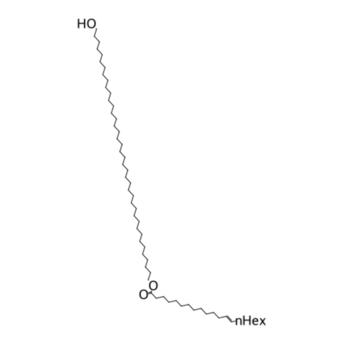 CCCCCCC=CCCCCCCCCCCCC(=O)OCCCCCCCCCCCCCCCCCCCCCCCCCCCCCCCCCCCCCCCCO